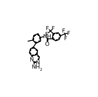 Cc1ccc(NC(=O)c2ccc(C(F)(F)F)cc2C(F)(F)F)cc1-c1ccc2nc(N)ncc2c1